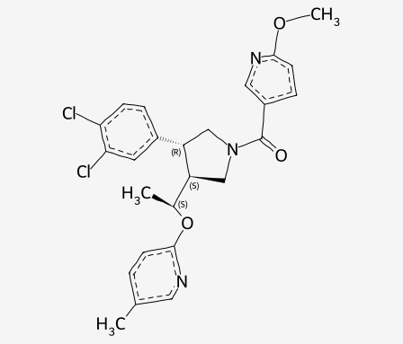 COc1ccc(C(=O)N2C[C@@H]([C@H](C)Oc3ccc(C)cn3)[C@H](c3ccc(Cl)c(Cl)c3)C2)cn1